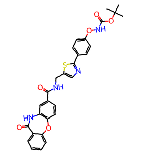 CC(C)(C)OC(=O)NOc1ccc(-c2ncc(CNC(=O)c3ccc4c(c3)NC(=O)c3ccccc3O4)s2)cc1